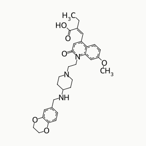 CCC(=Cc1cc(=O)n(CCN2CCC(NCc3ccc4c(c3)OCCO4)CC2)c2cc(OC)ccc12)C(=O)O